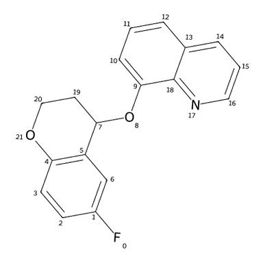 Fc1ccc2c(c1)C(Oc1cccc3cccnc13)CCO2